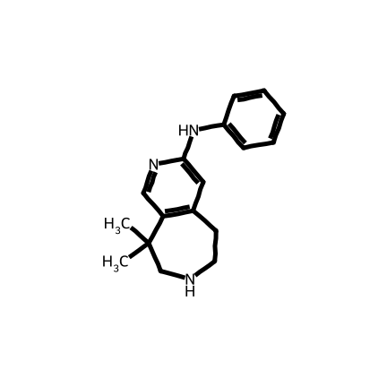 CC1(C)CNCCc2cc(Nc3ccccc3)ncc21